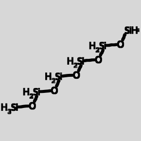 [SiH]O[SiH2]O[SiH2]O[SiH2]O[SiH2]O[SiH3]